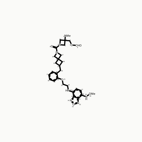 CNC1(COC=O)CN(C(=O)N2CC3(CC(Cc4ccccc4OCCNc4ccc(NOC)c5nonc45)C3)C2)C1